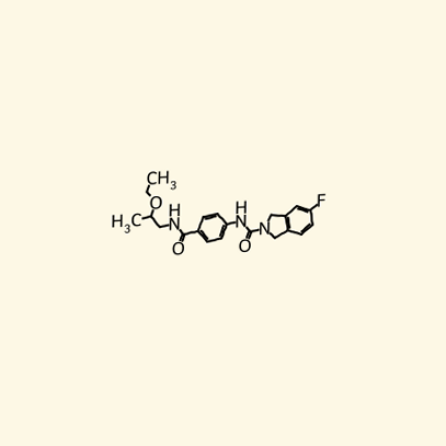 CCOC(C)CNC(=O)c1ccc(NC(=O)N2Cc3ccc(F)cc3C2)cc1